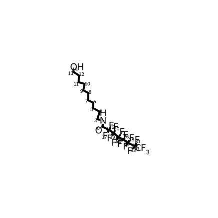 O=C(NCCCCCCCCCCCO)C(F)(F)C(F)(F)C(F)(F)C(F)(F)C(F)(F)C(F)(F)C(F)(F)F